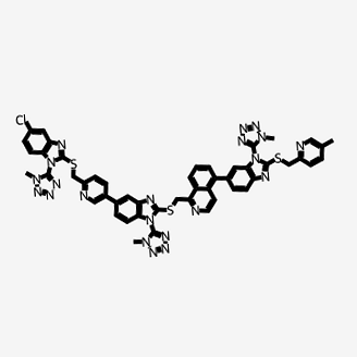 Cc1ccc(CSc2nc3ccc(-c4cccc5c(CSc6nc7cc(-c8ccc(CSc9nc%10cc(Cl)ccc%10n9-c9nnnn9C)nc8)ccc7n6-c6nnnn6C)nccc45)cc3n2-c2nnnn2C)nc1